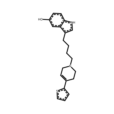 Oc1ccc2[nH]cc(CCCCN3CC=C(c4cccs4)CC3)c2c1